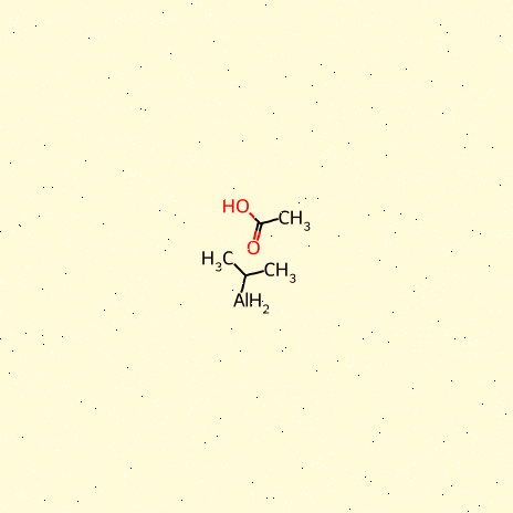 CC(=O)O.C[CH](C)[AlH2]